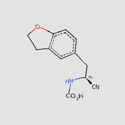 N#C[C@H](Cc1ccc2c(c1)CCO2)NC(=O)O